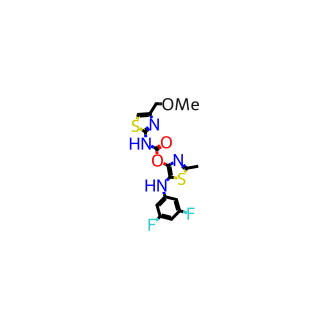 COCc1csc(NC(=O)Oc2nc(C)sc2Nc2cc(F)cc(F)c2)n1